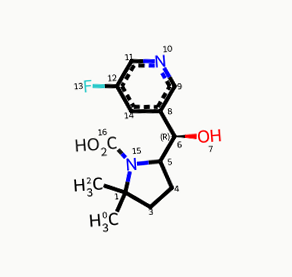 CC1(C)CCC([C@H](O)c2cncc(F)c2)N1C(=O)O